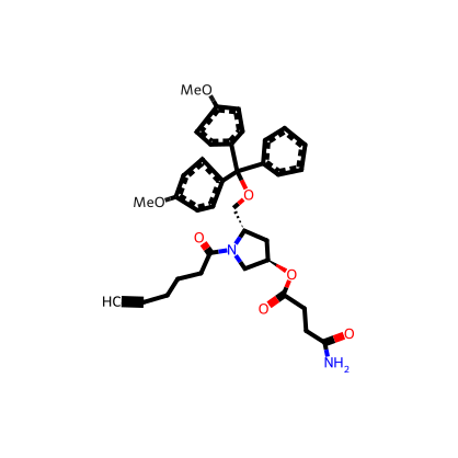 C#CCCCC(=O)N1C[C@H](OC(=O)CCC(N)=O)C[C@H]1COC(c1ccccc1)(c1ccc(OC)cc1)c1ccc(OC)cc1